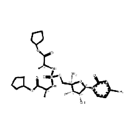 C[C@H](NP(=O)(N[C@@H](C)C(=O)OC1CCCC1)OC[C@@]1(N)O[C@@H](n2ccc(N)nc2=O)[C@H](O)[C@@H]1F)C(=O)OC1CCCC1